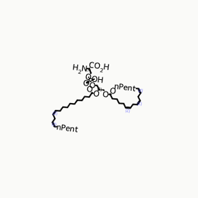 CCCCC/C=C\C/C=C\C/C=C\CCCCC(=O)OC[C@H](COP(=O)(O)OC[C@H](N)C(=O)O)OC(=O)CCCCCCCCC/C=C\C/C=C\CCCCC